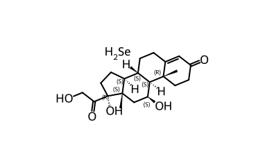 C[C@]12CCC(=O)C=C1CC[C@@H]1[C@@H]2[C@@H](O)C[C@@]2(C)[C@H]1CC[C@]2(O)C(=O)CO.[SeH2]